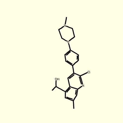 Cc1cc(C(C)O)c2cc(-c3ccc(N4CCN(C)CC4)cc3)c(Cl)nc2c1